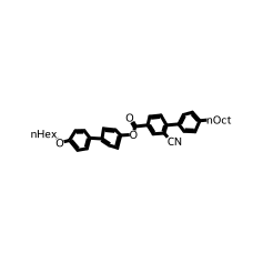 CCCCCCCCc1ccc(-c2ccc(C(=O)Oc3ccc(-c4ccc(OCCCCCC)cc4)cc3)cc2C#N)cc1